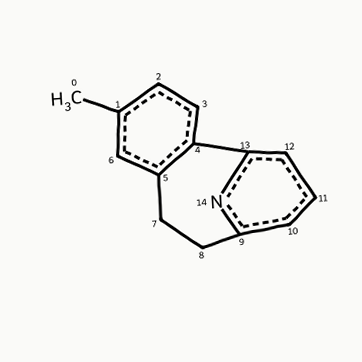 Cc1ccc2c(c1)CCc1cccc-2n1